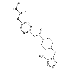 Cn1nnnc1SC1CCN(C(=O)Oc2ccc(NC(=S)NC(C)(C)C)cn2)CC1